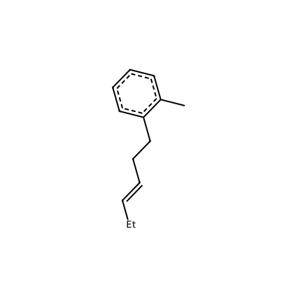 CCC=CCCc1ccccc1C